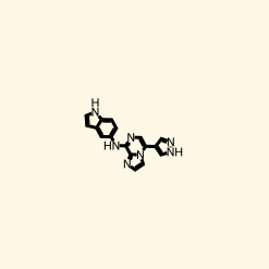 c1cn2c(-c3cn[nH]c3)cnc(Nc3ccc4[nH]ccc4c3)c2n1